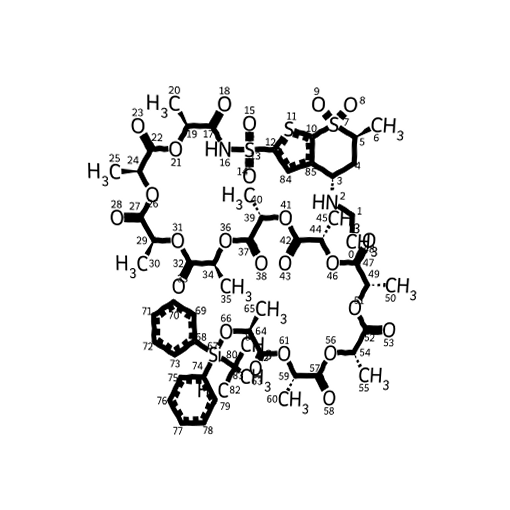 CCN[C@H]1C[C@H](C)S(=O)(=O)c2sc(S(=O)(=O)NC(=O)[C@H](C)OC(=O)[C@H](C)OC(=O)[C@H](C)OC(=O)[C@H](C)OC(=O)[C@H](C)OC(=O)[C@H](C)OC(=O)[C@H](C)OC(=O)[C@H](C)OC(=O)[C@H](C)OC(=O)[C@H](C)O[Si](c3ccccc3)(c3ccccc3)C(C)(C)C)cc21